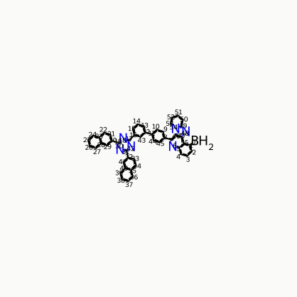 Bc1cccc2nc(-c3ccc(-c4cccc(-c5nc(-c6ccc7ccccc7c6)nc(-c6ccc7ccccc7c6)n5)c4)cc3)c3c(nc4ccccn43)c12